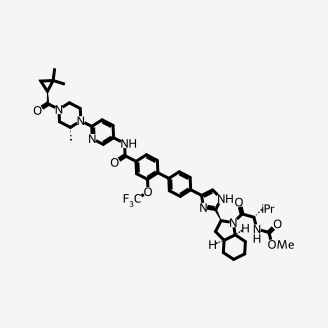 COC(=O)N[C@H](C(=O)N1[C@H](c2nc(-c3ccc(-c4ccc(C(=O)Nc5ccc(N6CCN(C(=O)[C@H]7CC7(C)C)C[C@H]6C)nc5)cc4OC(F)(F)F)cc3)c[nH]2)C[C@@H]2CCCC[C@@H]21)C(C)C